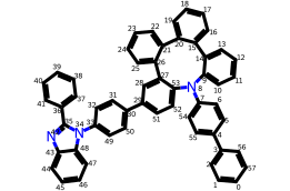 c1ccc(-c2ccc(-n3c4ccccc4c4ccccc4c4ccccc4c4cc(-c5ccc(-n6c(-c7ccccc7)nc7ccccc76)cc5)ccc43)cc2)cc1